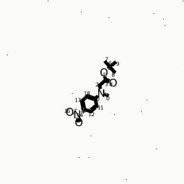 CN(CC(=O)OC(C)(C)C)c1ccc([N+](=O)[O-])cc1